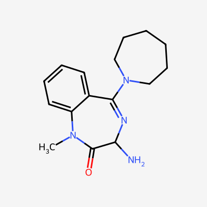 CN1C(=O)C(N)N=C(N2CCCCCC2)c2ccccc21